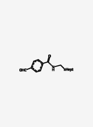 CCCCCCCCNC(=O)c1ccc(C=O)cc1